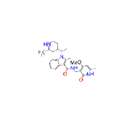 COc1cc(C)[nH]c(=O)c1CNC(=O)c1c(C)n(C(C)C2CCNC(C(F)(F)F)C2)c2ccccc12